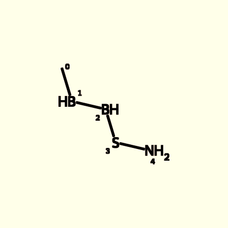 CBBSN